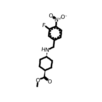 COC(=O)[C@H]1CC[C@H](NCc2ccc([N+](=O)[O-])c(F)c2)CC1